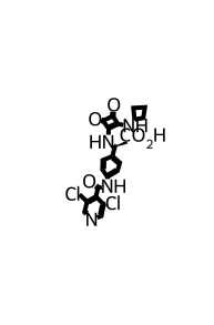 O=C(O)C[C@H](Nc1c(NC2CCC2)c(=O)c1=O)c1ccc(NC(=O)c2c(Cl)cncc2Cl)cc1